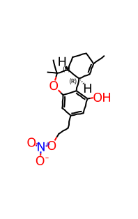 CC1=C[C@H]2c3c(O)cc(CCO[N+](=O)[O-])cc3OC(C)(C)[C@@H]2CC1